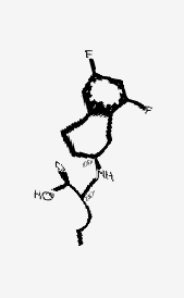 CCC[C@H](N[C@H]1CCc2cc(F)cc(F)c2C1)C(=O)O